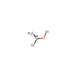 CCO[SiH](C)CC